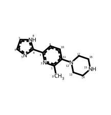 Cc1nc(-c2ncc[nH]2)ccc1N1CCNCC1